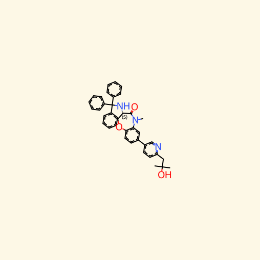 CN1C(=O)[C@@H](NC(c2ccccc2)(c2ccccc2)c2ccccc2)COc2ccc(-c3ccc(CC(C)(C)O)nc3)cc21